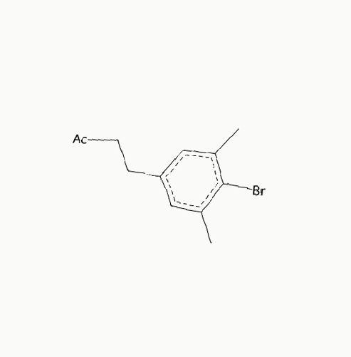 CC(=O)CCc1cc(C)c(Br)c(C)c1